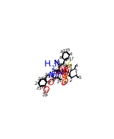 CCCC(CCC)S(=O)(=O)CC(NC(=O)CSC)C(=O)N(Cc1cccc(OC)c1)C[C@@H](O)[C@@H](N)Cc1ccccc1